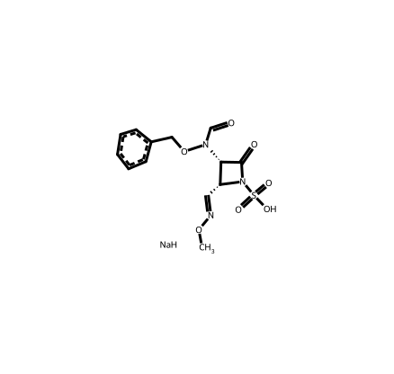 CO/N=C/[C@@H]1[C@H](N(C=O)OCc2ccccc2)C(=O)N1S(=O)(=O)O.[NaH]